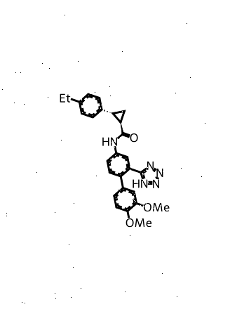 CCc1ccc([C@@H]2C[C@H]2C(=O)Nc2ccc(-c3ccc(OC)c(OC)c3)c(-c3nnn[nH]3)c2)cc1